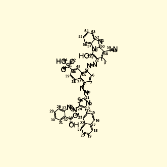 Cc1c(N=Nc2ccc(N=Nc3nc(-c4ccc5ccccc5c4)c(N=Nc4ccccc4C(=O)O)s3)c3ccc(S(=O)(=O)O)cc23)c(O)n2c(nc3ccccc32)c1C#N